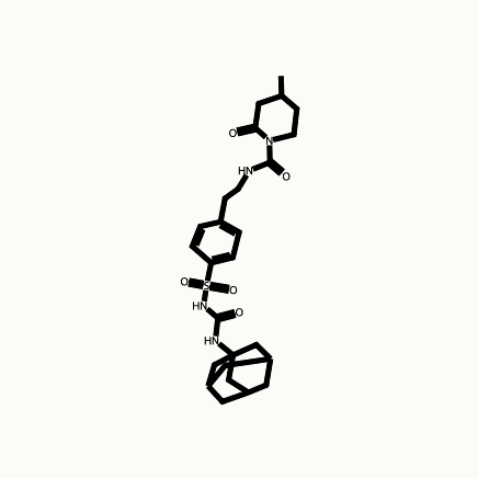 CC1CCN(C(=O)NCCc2ccc(S(=O)(=O)NC(=O)NC34CC5CC(CC(C5)C3)C4)cc2)C(=O)C1